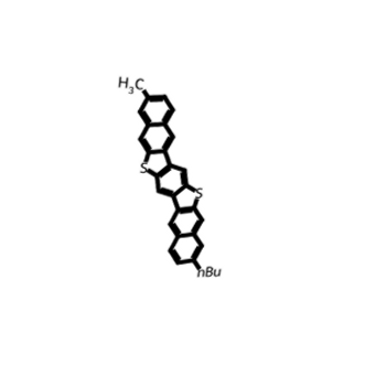 CCCCc1ccc2cc3c(cc2c1)sc1cc2c(cc13)sc1cc3cc(C)ccc3cc12